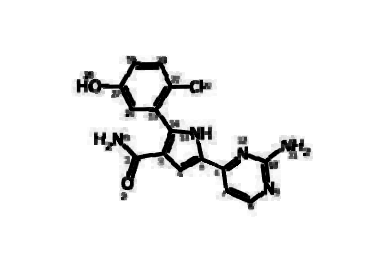 NC(=O)c1cc(-c2ccnc(N)n2)[nH]c1-c1cc(O)ccc1Cl